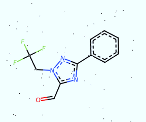 O=Cc1nc(-c2ccccc2)nn1CC(F)(F)F